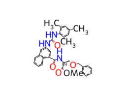 COC(=O)[C@H](COCc1ccccc1)NC(=O)c1cc(NC(=O)Nc2c(C)cc(C)cc2C)cc2ccccc12